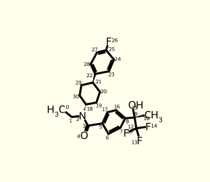 CCN(C(=O)c1ccc([C@](C)(O)C(F)(F)F)cc1)[C@H]1CC[C@H](c2ccc(F)cc2)CC1